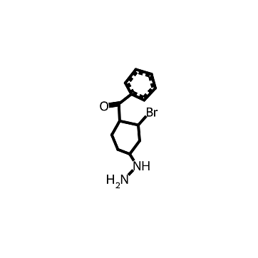 NNC1CCC(C(=O)c2ccccc2)C(Br)C1